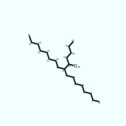 CCCCCCCCC(CCCCCCCC)C([O])CCCC